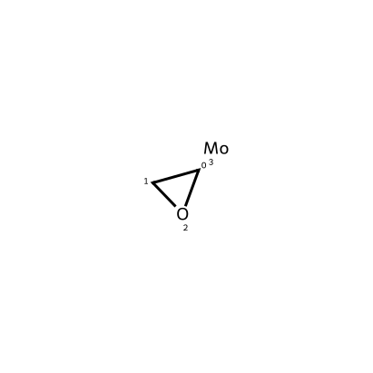 C1CO1.[Mo]